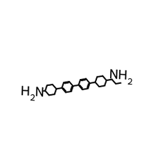 CCC(N)C1CCC(c2ccc(-c3ccc(C4CCC(N)CC4)cc3)cc2)CC1